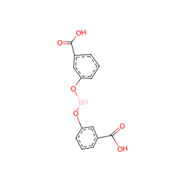 O=C(O)c1cccc(OBOc2cccc(C(=O)O)c2)c1